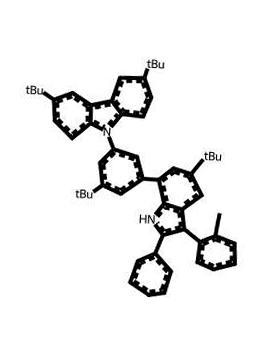 Cc1ccccc1-c1c(-c2ccccc2)[nH]c2c(-c3cc(-n4c5ccc(C(C)(C)C)cc5c5cc(C(C)(C)C)ccc54)cc(C(C)(C)C)c3)cc(C(C)(C)C)cc12